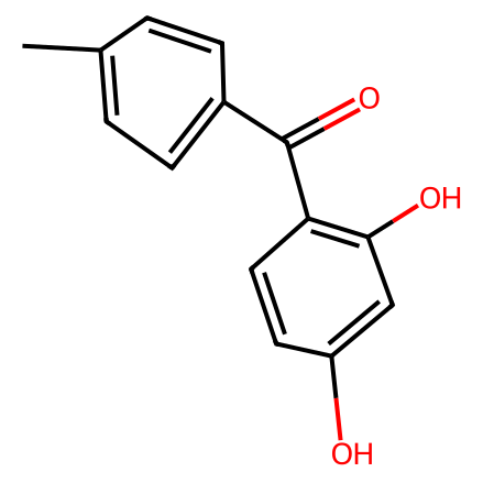 Cc1ccc(C(=O)c2ccc(O)cc2O)cc1